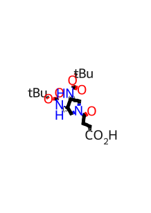 CC(C)(C)OC(=O)N[C@H]1CN(C(=O)CCC(=O)O)C[C@@H]1NC(=O)OC(C)(C)C